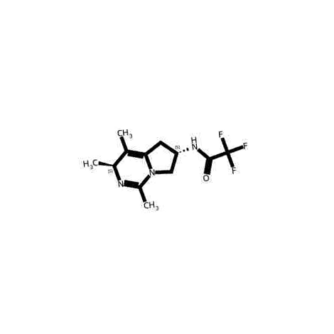 CC1=N[C@@H](C)C(C)=C2C[C@H](NC(=O)C(F)(F)F)CN12